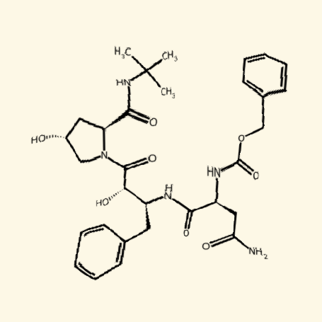 CC(C)(C)NC(=O)[C@@H]1C[C@@H](O)CN1C(=O)[C@@H](O)[C@H](Cc1ccccc1)NC(=O)[C@H](CC(N)=O)NC(=O)OCc1ccccc1